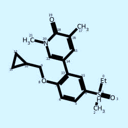 CC[SH](C)(=O)c1ccc(OCC2CC2)c(-c2cc(C)c(=O)n(C)c2)c1